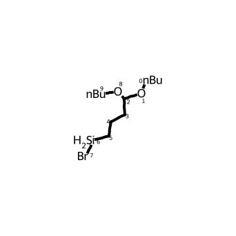 CCCCOC(CCC[SiH2]Br)OCCCC